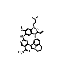 C=CC(=O)Nc1cc(Nc2ncc(C(N)=O)c(-c3cn4c5c(cccc35)CCC4)n2)c(OC)cc1N(C)CCN(C)C